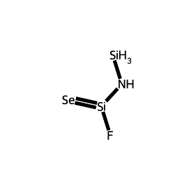 F[Si](=[Se])N[SiH3]